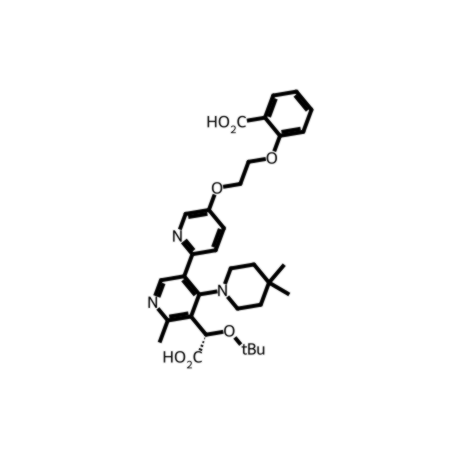 Cc1ncc(-c2ccc(OCCOc3ccccc3C(=O)O)cn2)c(N2CCC(C)(C)CC2)c1[C@H](OC(C)(C)C)C(=O)O